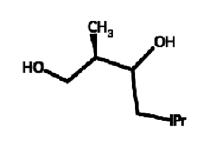 CC(C)CC(O)[C@H](C)CO